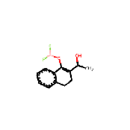 CC(O)C1=C(OB(F)F)c2ccccc2CC1